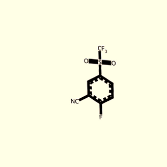 N#Cc1cc(S(=O)(=O)C(F)(F)F)ccc1F